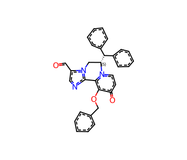 O=Cc1cnc2n1C[C@H](C(c1ccccc1)c1ccccc1)n1ccc(=O)c(OCc3ccccc3)c1-2